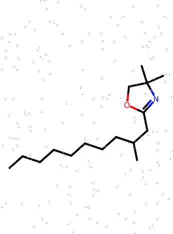 CCCCCCCCC(C)CC1=NC(C)(C)CO1